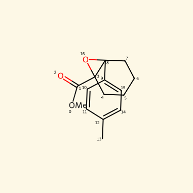 COC(=O)C12CCCCC1(c1ccc(C)cc1)O2